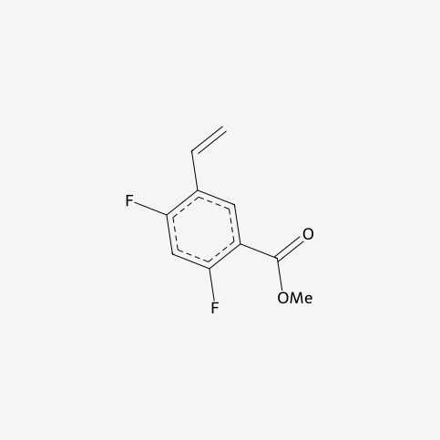 C=Cc1cc(C(=O)OC)c(F)cc1F